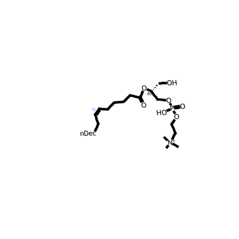 CCCCCCCCCCC/C=C\CCCCC(=O)O[C@H](CO)COP(=O)(O)OCC[N+](C)(C)C